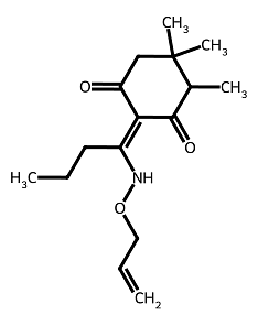 C=CCONC(CCC)=C1C(=O)CC(C)(C)C(C)C1=O